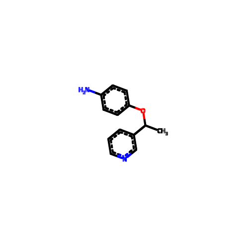 CC(Oc1ccc(N)cc1)c1cccnc1